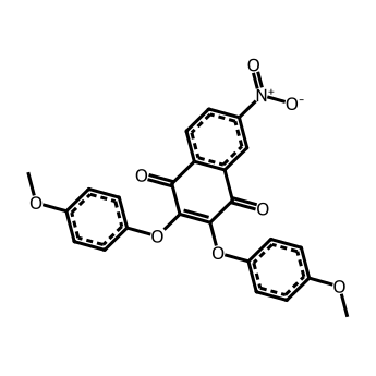 COc1ccc(OC2=C(Oc3ccc(OC)cc3)C(=O)c3cc([N+](=O)[O-])ccc3C2=O)cc1